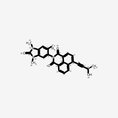 Cc1cc2c(cc1N1C(=O)c3cccc4c(C#C[C@@H](C)O)ccc(c34)C1=O)n(C)c(=O)n2C